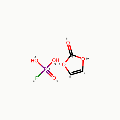 O=P(O)(O)F.O=c1occo1